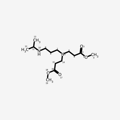 COC(=O)CCN(CCCNC(C)C)CCC(=O)OC